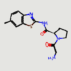 Cc1ccc2nc(NC(=O)[C@H]3CCCN3C(=O)CN)sc2c1